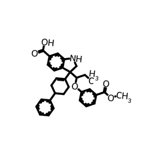 CCC(Oc1cccc(C(=O)OC)c1)C1(C2=CCC(c3ccccc3)CC2)CNc2cc(C(=O)O)ccc21